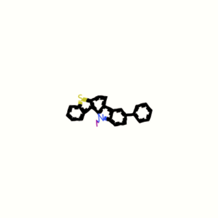 In1c2ccc(-c3ccccc3)cc2c2ccc3sc4ccccc4c3c21